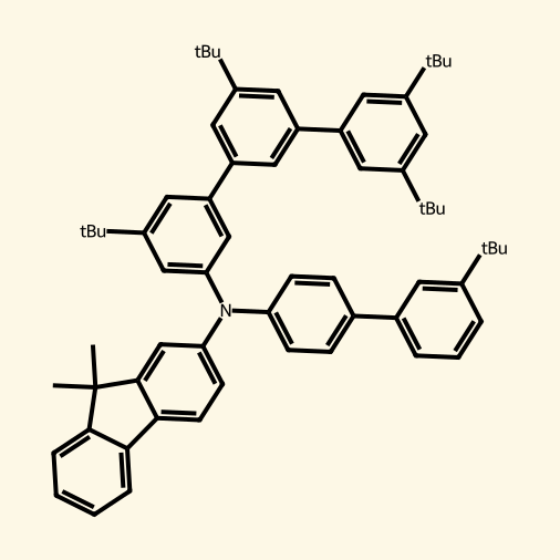 CC(C)(C)c1cccc(-c2ccc(N(c3cc(-c4cc(-c5cc(C(C)(C)C)cc(C(C)(C)C)c5)cc(C(C)(C)C)c4)cc(C(C)(C)C)c3)c3ccc4c(c3)C(C)(C)c3ccccc3-4)cc2)c1